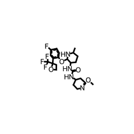 COC1=NCCC(NC(=O)NC2CCC(C)NC2Oc2ccc(F)cc2C2(C(F)(F)F)CCO2)C1